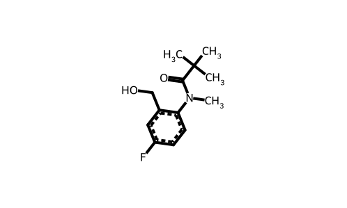 CN(C(=O)C(C)(C)C)c1ccc(F)cc1CO